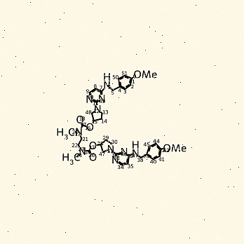 COc1ccc(CNc2ccnc(N3CCC(OC(=O)N(C)CCN(C)C(=O)OC4CCN(c5nccc(NCc6ccc(OC)cc6)n5)C4)C3)n2)cc1